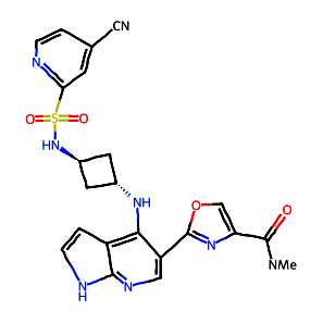 CNC(=O)c1coc(-c2cnc3[nH]ccc3c2N[C@H]2C[C@H](NS(=O)(=O)c3cc(C#N)ccn3)C2)n1